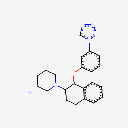 N[C@@H]1CCCN(C2CCc3ccccc3C2Oc2cccc(-n3cnnn3)c2)C1